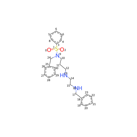 O=S(=O)(c1ccccc1)N(CCCNCCNCc1ccccc1)Cc1ccccc1